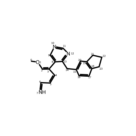 CO/C=C(/C=C\C=N)c1cncnc1Cc1ccc2c(c1)CCC2